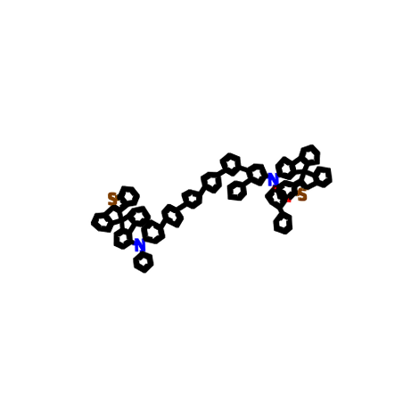 c1ccc(-c2ccc(N(c3ccc(-c4cccc(-c5ccc(-c6ccc(-c7ccc(-c8ccc(N(c9ccccc9)c9cccc%10c9-c9ccccc9C%109c%10ccccc%10-c%10sc%11ccccc%11c%109)cc8)cc7)cc6)cc5)c4)c(-c4ccccc4)c3)c3ccc4c(c3)C3(c5ccccc5-4)c4ccccc4-c4sc5ccccc5c43)cc2)cc1